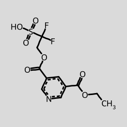 CCOC(=O)c1cncc(C(=O)OCC(F)(F)S(=O)(=O)O)c1